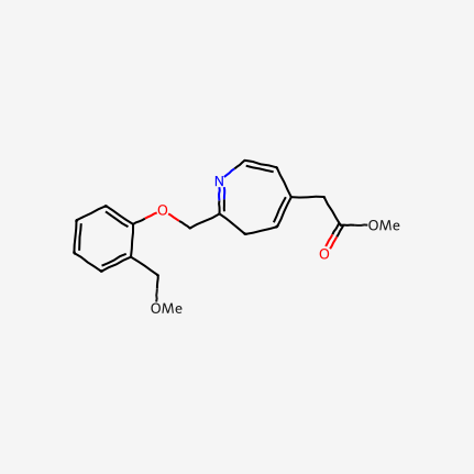 COCc1ccccc1OCC1=NC=CC(CC(=O)OC)=CC1